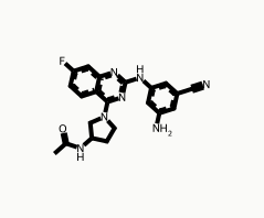 CC(=O)NC1CCN(c2nc(Nc3cc(N)cc(C#N)c3)nc3cc(F)ccc23)C1